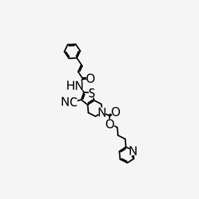 N#Cc1c(NC(=O)/C=C/c2ccccc2)sc2c1CCN(C(=O)OCCCc1ccccn1)C2